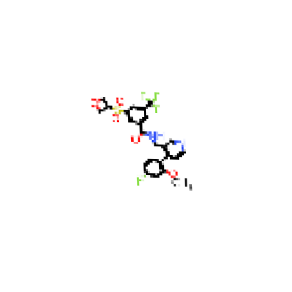 COc1cc(F)ccc1-c1ccncc1CNC(=O)c1cc(C(F)(F)F)cc(S(=O)(=O)C2COC2)c1